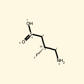 NC[C@H](F)CS(=O)O